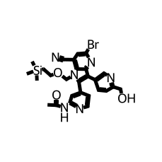 CC(=O)Nc1cc(-c2c(-c3ccc(CO)nc3)c3nc(Br)cc(C#N)c3n2COCC[Si](C)(C)C)ccn1